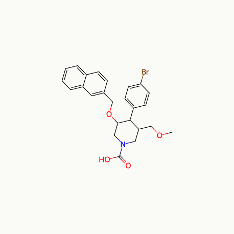 COCC1CN(C(=O)O)CC(OCc2ccc3ccccc3c2)C1c1ccc(Br)cc1